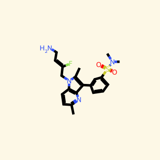 Cc1ccc2c(n1)c(-c1cccc(S(=O)(=O)N(C)C)c1)c(C)n2CC(F)=CCN